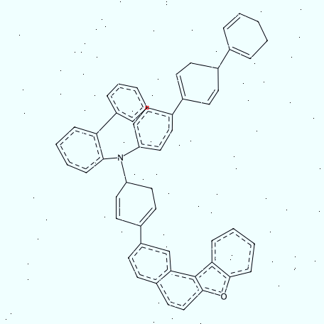 C1=CC(C2C=CC(c3ccc(N(c4ccccc4-c4ccccc4)C4C=CC(c5ccc6ccc7oc8ccccc8c7c6c5)=CC4)cc3)=CC2)=CCC1